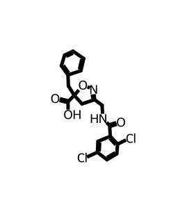 O=C(NCC1=NOC(Cc2ccccc2)(C(=O)O)C1)c1cc(Cl)ccc1Cl